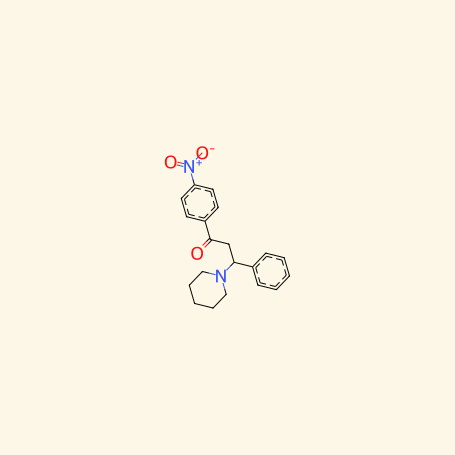 O=C(CC(c1ccccc1)N1CCCCC1)c1ccc([N+](=O)[O-])cc1